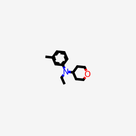 CCN(c1cccc(C)c1)C1CCOCC1